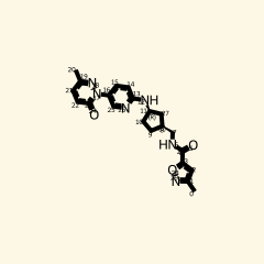 Cc1cc(C(=O)NC[C@H]2CC[C@@H](Nc3ccc(-n4nc(C)ccc4=O)cn3)C2)on1